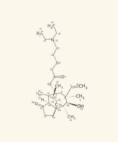 C=C[C@]1(C)C[C@@H](OC(=O)CSCCN(CC)CC)C2(C)[C@H](C)CCC3(CCC(=O)[C@H]32)[C@@H](C)[C@@H]1O